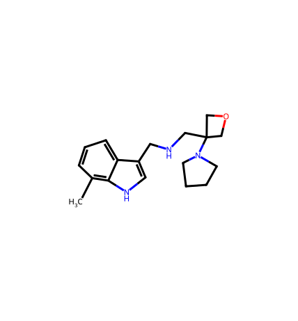 Cc1cccc2c(CNCC3(N4CCCC4)COC3)c[nH]c12